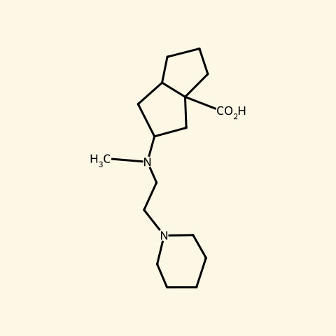 CN(CCN1CCCCC1)C1CC2CCCC2(C(=O)O)C1